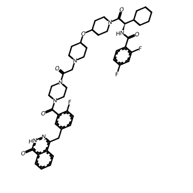 O=C(N[C@@H](C(=O)N1CCC(OC2CCN(CC(=O)N3CCN(C(=O)c4cc(Cc5n[nH]c(=O)c6ccccc56)ccc4F)CC3)CC2)CC1)C1CCCCC1)c1ccc(F)cc1F